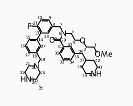 COCCOCCN(Cc1ccc(F)c(-c2cccc(CN3CCN[C@@H](C)C3)c2)c1)C(=O)c1cccc(CC2CCNCC2)c1